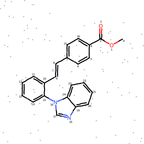 COC(=O)c1ccc(/C=C/c2ccccc2-n2cnc3ccccc32)cc1